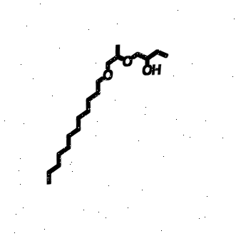 CCCCCCCCCCCCOCC(C)OCC(O)CC